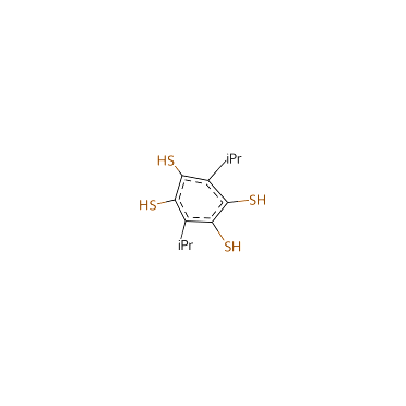 CC(C)c1c(S)c(S)c(C(C)C)c(S)c1S